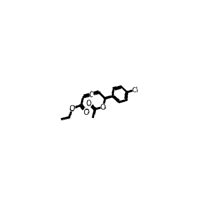 CCOC(=O)C=C=CC(OC(C)=O)c1ccc(Cl)cc1